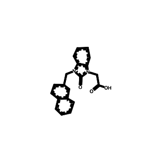 O=C(O)Cn1c(=O)n(Cc2ccc3ccccc3c2)c2ccccc21